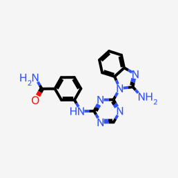 NC(=O)c1cccc(Nc2ncnc(-n3c(N)nc4ccccc43)n2)c1